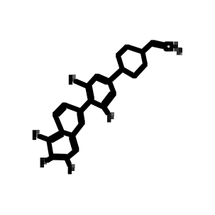 C=CC1CCC(c2cc(F)c(-c3ccc4c(F)c(F)c(F)cc4c3)c(F)c2)CC1